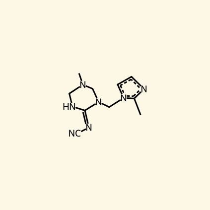 Cc1nccn1CN1CN(C)CNC1=NC#N